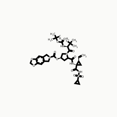 C=C[C@H]1C[C@@]1(NC(=O)C1C[C@@H](OC(=O)N2Cc3cc4c(cc3C2)OCO4)CN1C(=O)[C@@H](NC(=O)OC(C)(C)C)C(C)(C)C)C(=O)NS(=O)(=O)C1CC1